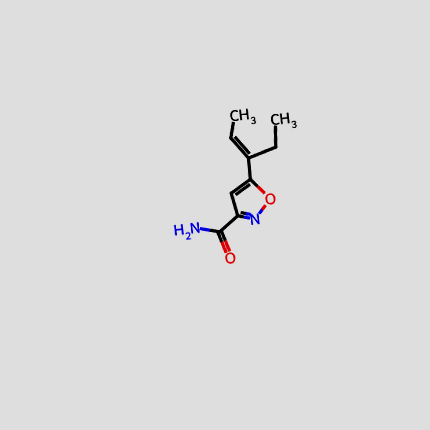 CC=C(CC)c1cc(C(N)=O)no1